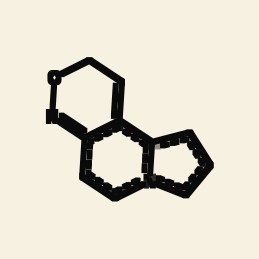 C1=c2c(ccn3cccc23)=NOC1